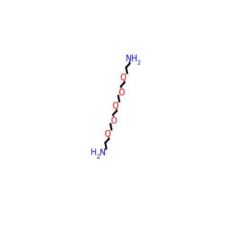 NCCCOCCOCCOCCOCCOCCCN